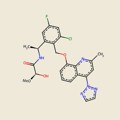 CO[C@H](O)C(=O)N[C@@H](C)c1cc(F)cc(Cl)c1COc1cccc2c(-n3nccn3)cc(C)nc12